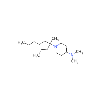 CCCCCC(C)(CCC)N1CCC(N(C)C)CC1